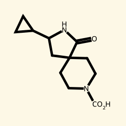 O=C(O)N1CCC2(CC1)CC(C1CC1)NC2=O